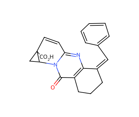 O=C(O)C12C=Cc3nc4c(c(=O)n3C1C2)CCC/C4=C/c1ccccc1